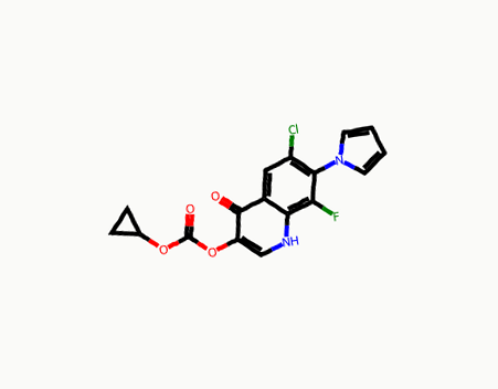 O=C(Oc1c[nH]c2c(F)c(-n3cccc3)c(Cl)cc2c1=O)OC1CC1